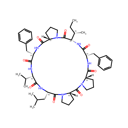 CC[C@H](C)[C@@H]1NC(=O)[C@H](Cc2ccccc2)NC(=O)[C@@H]2CCCN2C(=O)[C@@H]2CCCN2C(=O)[C@H](CC(C)C)NC(=O)[C@H](C(C)C)NC(=O)[C@H](Cc2ccccc2)NC(=O)[C@@H]2CCCN2C1=O